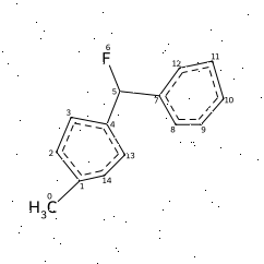 Cc1ccc(C(F)c2ccccc2)cc1